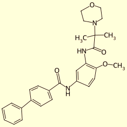 COc1ccc(NC(=O)c2ccc(-c3ccccc3)cc2)cc1NC(=O)C(C)(C)N1CCOCC1